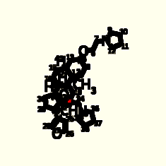 C[C@]12CC[C@H](OCCN3CCCC3)C[C@H]1CC[C@@H]1[C@@H]2CC[C@]2(C)[C@@H](c3ccoc3)CC[C@]12OCCN1CCCC1